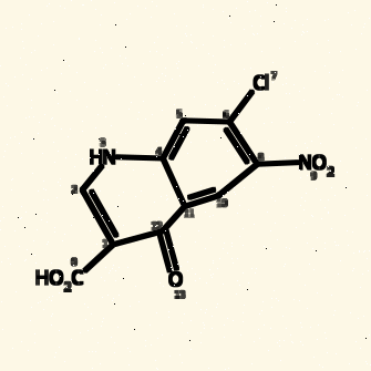 O=C(O)c1c[nH]c2cc(Cl)c([N+](=O)[O-])cc2c1=O